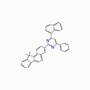 CC1(C)c2ccccc2-c2ccc3cc(-c4nc(-c5ccccc5)cc(-c5cccc6ccccc56)n4)ccc3c21